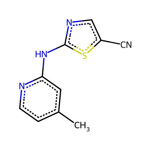 Cc1ccnc(Nc2ncc(C#N)s2)c1